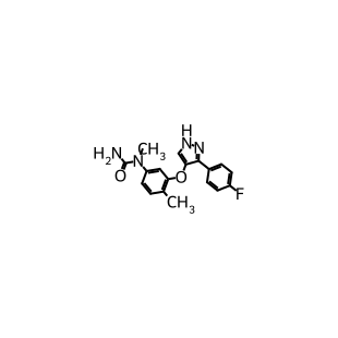 Cc1ccc(N(C)C(N)=O)cc1Oc1c[nH]nc1-c1ccc(F)cc1